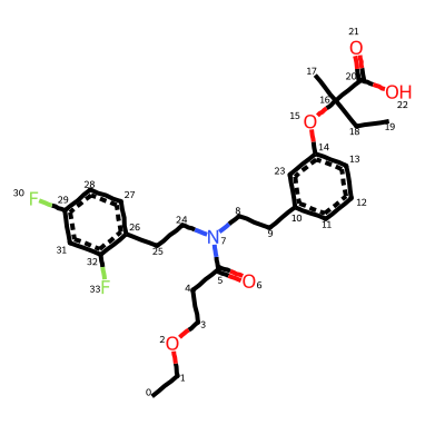 CCOCCC(=O)N(CCc1cccc(OC(C)(CC)C(=O)O)c1)CCc1ccc(F)cc1F